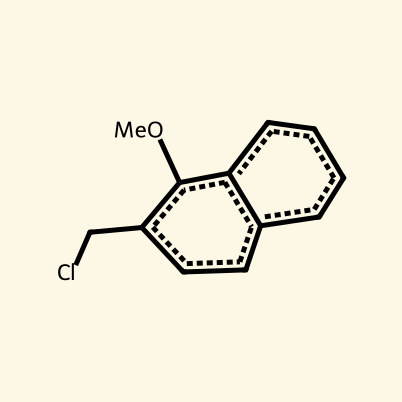 COc1c(CCl)ccc2ccccc12